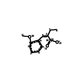 CCC(=Cc1ccccc1OC)[N+](=O)[O-]